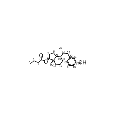 CCCC(=O)O[C@H]1CCC2C3C(CC[C@@]21C)c1ccc(O)cc1C[C@H]3C